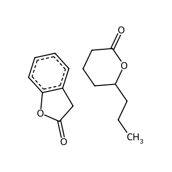 CCCC1CCCC(=O)O1.O=C1Cc2ccccc2O1